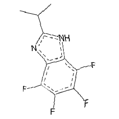 CC(C)c1nc2c(F)c(F)c(F)c(F)c2[nH]1